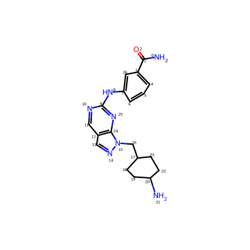 NC(=O)c1cccc(Nc2ncc3cnn(CC4CCC(N)CC4)c3n2)c1